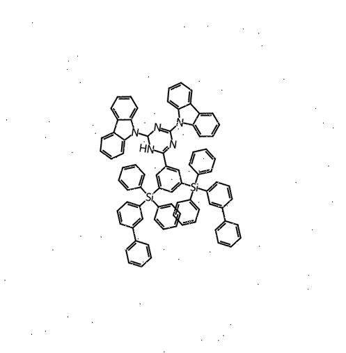 c1ccc(-c2cccc([Si](c3ccccc3)(c3ccccc3)c3cc(C4=NC(n5c6ccccc6c6ccccc65)=NC(n5c6ccccc6c6ccccc65)N4)cc([Si](c4ccccc4)(c4ccccc4)c4cccc(-c5ccccc5)c4)c3)c2)cc1